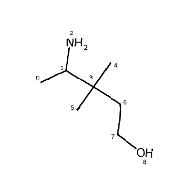 CC(N)C(C)(C)CCO